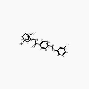 O=C(N[C@H]1C[C@@H]2CC[C@H]1C2)c1ccc(COc2cccc(F)c2)nc1